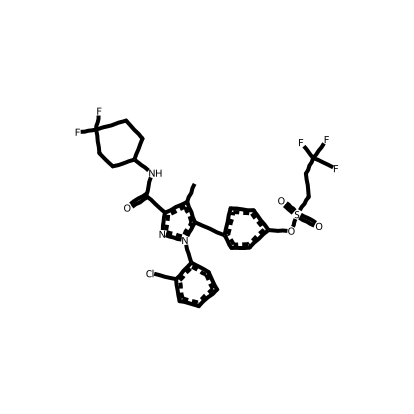 Cc1c(C(=O)NC2CCC(F)(F)CC2)nn(-c2ccccc2Cl)c1-c1ccc(OS(=O)(=O)CCC(F)(F)F)cc1